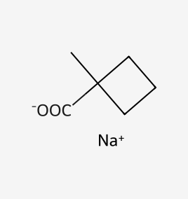 CC1(C(=O)[O-])CCC1.[Na+]